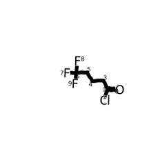 O=C(Cl)CCCC(F)(F)F